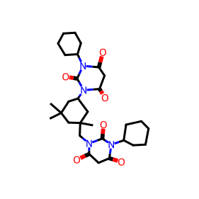 CC1(C)CC(N2C(=O)CC(=O)N(C3CCCCC3)C2=O)CC(C)(CN2C(=O)CC(=O)N(C3CCCCC3)C2=O)C1